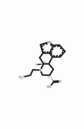 CCCN1C[C@@H](C(=O)O)CC2c3cccc4[nH]cc(c34)C[C@H]21